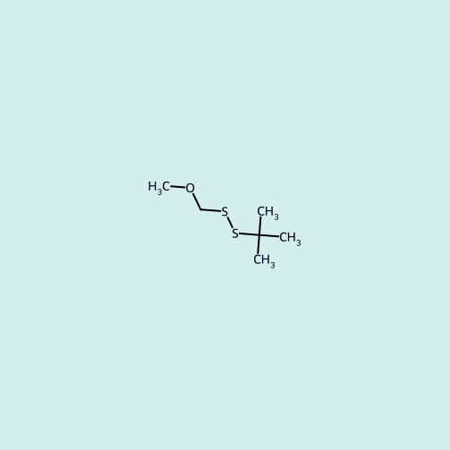 COCSSC(C)(C)C